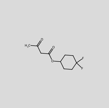 CC(=O)CC(=O)OC1CCC(F)(F)CC1